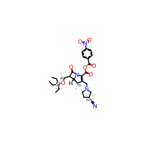 CC[Si](CC)(CC)O[C@H](C)C1C(=O)N2C(C(=O)OC(=O)c3ccc([N+](=O)[O-])cc3)=C(CN3CC[C@H](C#N)C3)[C@H](C)[C@H]12